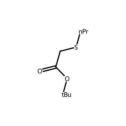 CCCSCC(=O)OC(C)(C)C